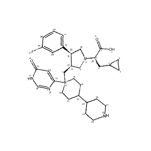 O=C(O)[C@@H](CC1CC1)N1C[C@@H](C[N+]2(c3cc(=O)[nH]cn3)CCC(C3CCNCC3)CC2)[C@@H](c2cccc(F)c2)C1